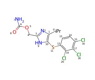 CC(C)c1nc(COC(N)=O)[nH]c1Sc1ccc(Cl)c(Cl)c1Cl